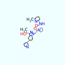 Cc1cccc(NC(=O)[C@@H]2CCCN2C(=O)Cn2nc(C(C)O)c3cc(-c4cccnc4)ccc32)n1